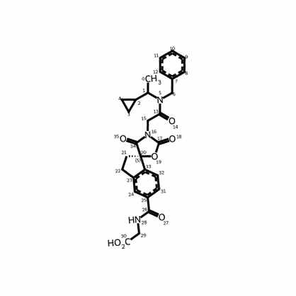 CC(C1CC1)N(Cc1ccccc1)C(=O)CN1C(=O)O[C@]2(CCc3cc(C(=O)NCC(=O)O)ccc32)C1=O